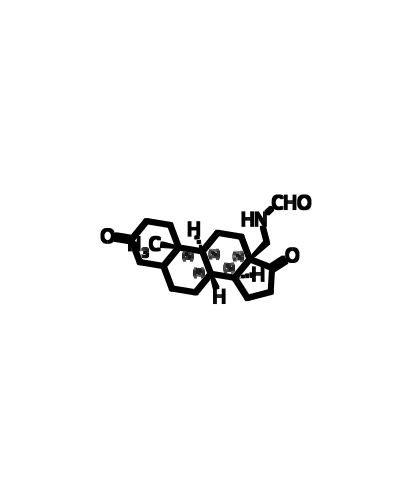 C[C@]12CCC(=O)CC1CC[C@H]1[C@@H]3CCC(=O)[C@@]3(CNC=O)CC[C@@H]12